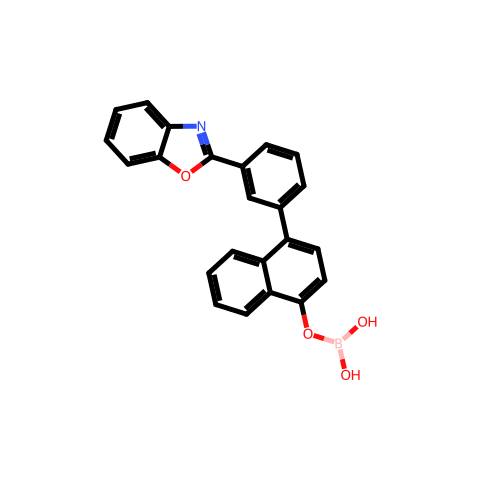 OB(O)Oc1ccc(-c2cccc(-c3nc4ccccc4o3)c2)c2ccccc12